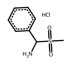 CS(=O)(=O)C(N)c1ccccc1.Cl